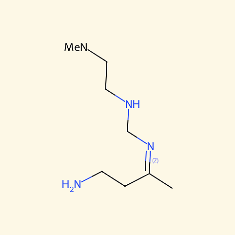 CNCCNC/N=C(/C)CCN